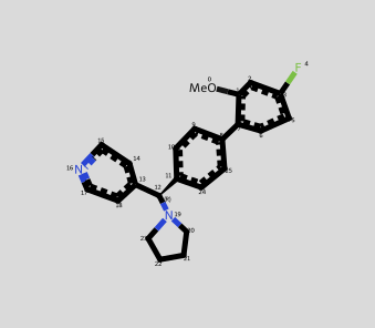 COc1cc(F)ccc1-c1ccc([C@H](c2ccncc2)N2CCCC2)cc1